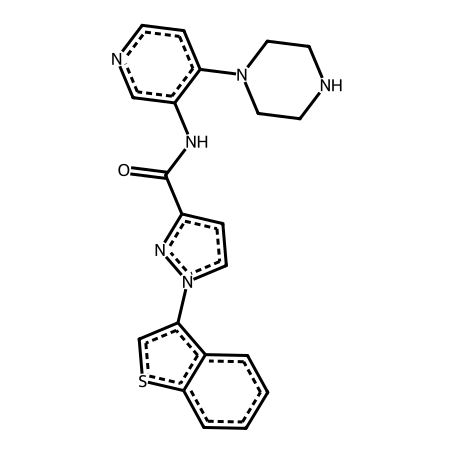 O=C(Nc1cnccc1N1CCNCC1)c1ccn(-c2csc3ccccc23)n1